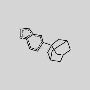 c1cc2cc(C34CC5CC(CC(C5)C3)C4)ccc2o1